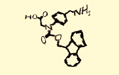 NCc1ccc(N(CC(=O)O)C(=O)OCC2c3ccccc3-c3ccccc32)cc1